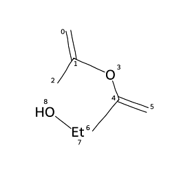 C=C(C)OC(=C)C.CCO